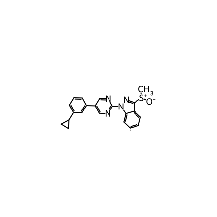 C[S+]([O-])c1nn(-c2ncc(-c3cccc(C4CC4)c3)cn2)c2c[c]ccc12